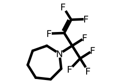 FC(F)=C(F)C(F)(N1CCCCCC1)C(F)(F)F